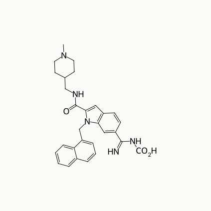 CN1CCC(CNC(=O)c2cc3ccc(C(=N)NC(=O)O)cc3n2Cc2cccc3ccccc23)CC1